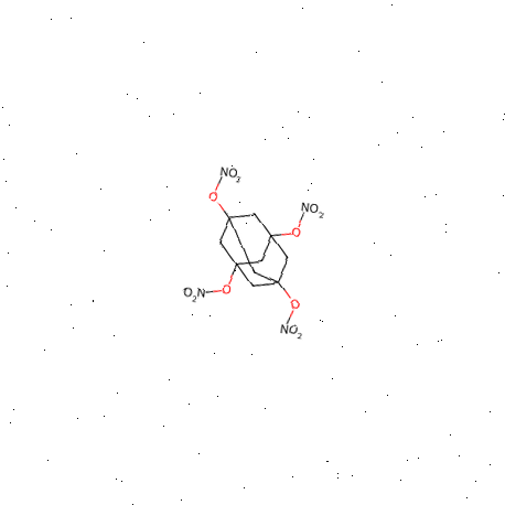 O=[N+]([O-])OC12CC3(O[N+](=O)[O-])CC(O[N+](=O)[O-])(C1)CC(O[N+](=O)[O-])(C2)C3